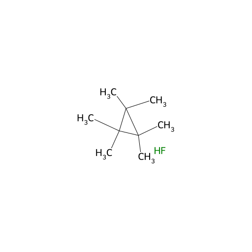 CC1(C)C(C)(C)C1(C)C.F